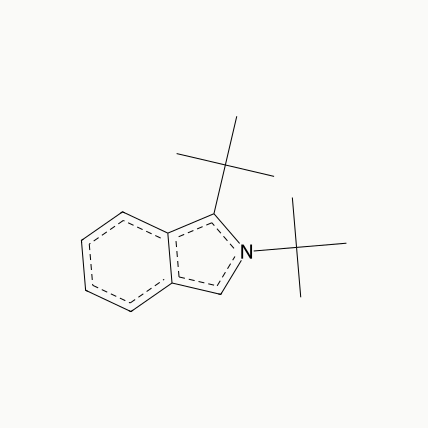 CC(C)(C)c1c2ccccc2cn1C(C)(C)C